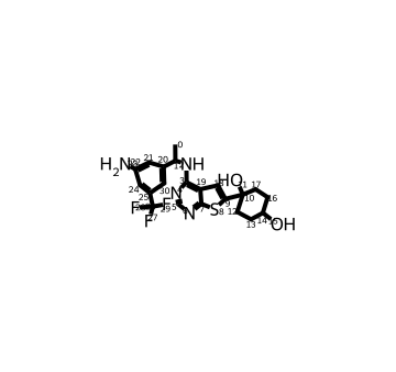 CC(Nc1ncnc2sc(C3(O)CCC(O)CC3)cc12)c1cc(N)cc(C(F)(F)F)c1